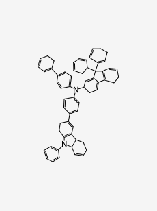 C1=CCCC(c2ccc(N(c3ccc(C4=CC5=C(CC4)N(c4ccccc4)C4C=CCCC54)cc3)C3C=C4C(=CC3)C3=C(C=CCC3)C4(C3=CCCC=C3)C3C=CC=CC3)cc2)=C1